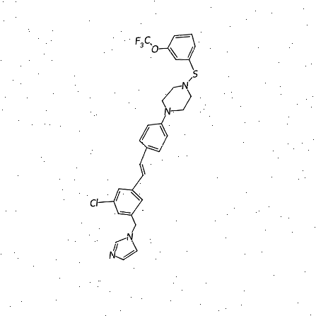 FC(F)(F)Oc1cccc(SN2CCN(c3ccc(/C=C/c4cc(Cl)cc(Cn5ccnc5)c4)cc3)CC2)c1